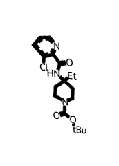 CCC1(NC(=O)c2ncccc2Cl)CCN(C(=O)OC(C)(C)C)CC1